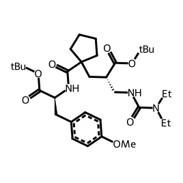 CCN(CC)C(=O)NC[C@H](CC1(C(=O)N[C@@H](Cc2ccc(OC)cc2)C(=O)OC(C)(C)C)CCCC1)C(=O)OC(C)(C)C